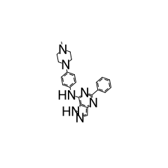 CN1CCN(c2ccc(Nc3nc(-c4ccccc4)nc4cn[nH]c34)cc2)CC1